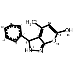 CC1=C2C(=NNC2c2ccccc2)OC(O)=C1